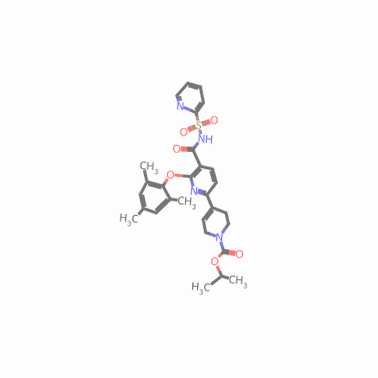 Cc1cc(C)c(Oc2nc(C3=CCN(C(=O)OC(C)C)CC3)ccc2C(=O)NS(=O)(=O)c2ccccn2)c(C)c1